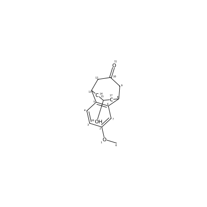 COc1ccc2c(c1)C1CC(=O)CC2CC(O)C1